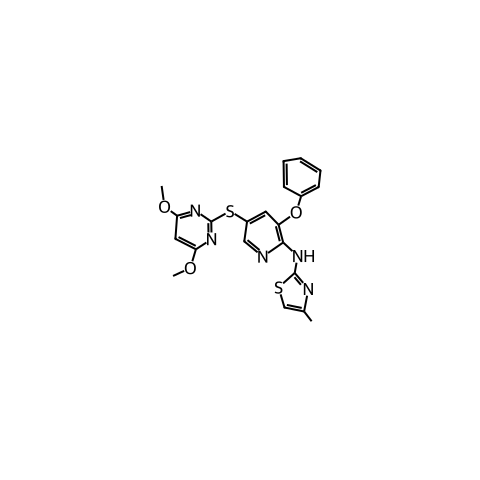 COc1cc(OC)nc(Sc2cnc(Nc3nc(C)cs3)c(Oc3ccccc3)c2)n1